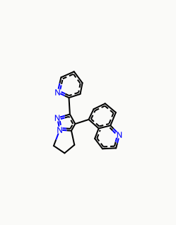 c1ccc(-c2nn3c(c2-c2cccc4ncccc24)CCC3)nc1